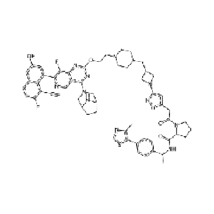 C#Cc1c(F)ccc2cc(O)cc(-c3ncc4c(N5CC6CCC(C5)N6)nc(OCCN5CCC(CC6CN(c7cc(CC(=O)N8CCCC8C(=O)NC(C)c8ccc(-c9scnc9C)cc8)on7)C6)CC5)nc4c3F)c12